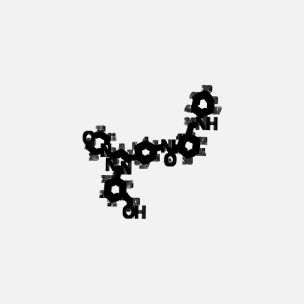 O=C(Nc1ccc(-c2cc(N3CCOCC3)nc(-c3cccc(CO)c3)n2)cc1)c1cccc(CNc2ccccc2)c1